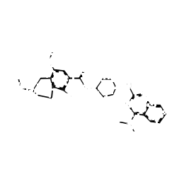 COc1cc(C(=O)N[C@H]2CC[C@@H](Nc3nc(N(C)C)c4ccccc4n3)CC2)c(N)c2c1CC(OC)CC2